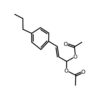 CCCc1ccc(/C=C/C(OC(C)=O)OC(C)=O)cc1